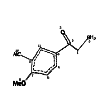 BCC(=O)c1ccc(OC)c(C#N)c1